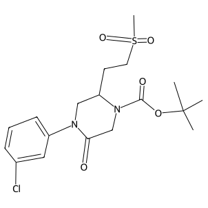 CC(C)(C)OC(=O)N1CC(=O)N(c2cccc(Cl)c2)CC1CCS(C)(=O)=O